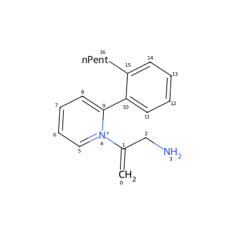 C=C(CN)[n+]1ccccc1-c1ccccc1CCCCC